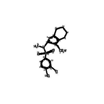 CN(c1sc2c(c1C(=O)O)CCCC2)S(=O)(=O)c1ccc(Cl)c(Cl)c1